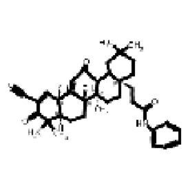 CC1(C)CC[C@]2(CCC(=O)Nc3ccccc3)CC[C@]3(C)C(C(=O)C=C4[C@@]5(C)C=C(C#N)C(=O)C(C)(C)[C@@H]5CC[C@]43C)C2C1